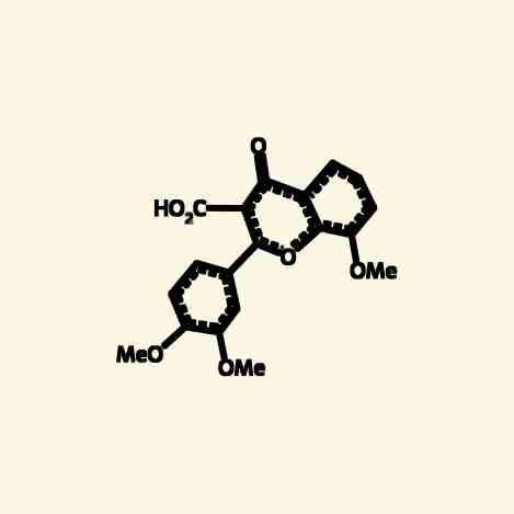 COc1ccc(-c2oc3c(OC)cccc3c(=O)c2C(=O)O)cc1OC